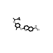 CCNc1ccc2nc(Oc3ccc(OC(C)C4CC4)cc3C)ccc2c1